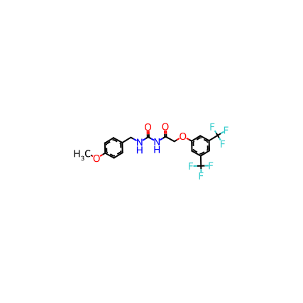 COc1ccc(CNC(=O)NC(=O)COc2cc(C(F)(F)F)cc(C(F)(F)F)c2)cc1